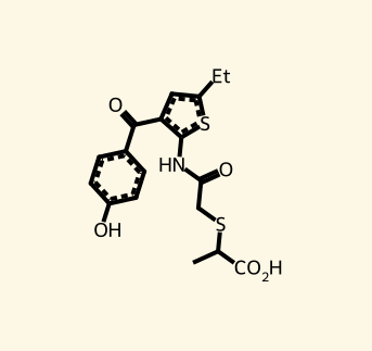 CCc1cc(C(=O)c2ccc(O)cc2)c(NC(=O)CSC(C)C(=O)O)s1